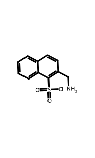 NCc1ccc2ccccc2c1S(=O)(=O)Cl